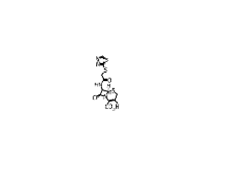 CC1=C(C(=O)O)N2C(=O)C(NC(=O)CSc3nncs3)[C@H]2SC1